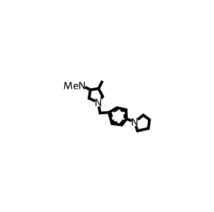 CNC1CN(Cc2ccc(N3CCCC3)cc2)CC1C